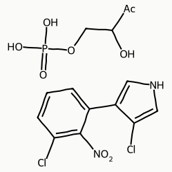 CC(=O)C(O)COP(=O)(O)O.O=[N+]([O-])c1c(Cl)cccc1-c1c[nH]cc1Cl